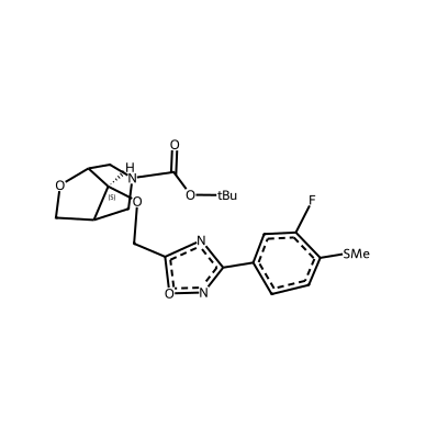 CSc1ccc(-c2noc(CO[C@H]3C4COC3CN(C(=O)OC(C)(C)C)C4)n2)cc1F